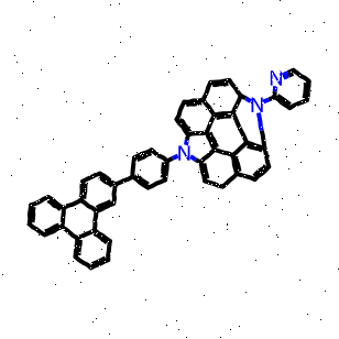 C1=CC2c3c4c(ccc5c4c4c(n(-c6ccc(-c7ccc8c9ccccc9c9ccccc9c8c7)cc6)c6ccc1c3c46)=CC5)N2c1ccccn1